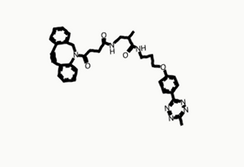 Cc1nnc(-c2ccc(OCCCNC(=O)C(C)CNC(=O)CCC(=O)N3Cc4ccccc4C#Cc4ccccc43)cc2)nn1